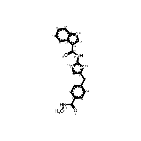 CNC(=O)c1ccc(Cc2cnc(NC(=O)c3coc4ccccc34)s2)cc1